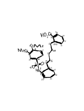 COc1ccc(S(=O)(=O)Nc2ccccc2CCCCCc2ccccc2C(=O)O)cc1OC